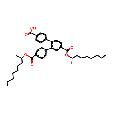 CCCCCCC[C@@H](C)OC(=O)c1ccc(-c2cc(C(=O)O[C@H](C)CCCCCCC)ccc2-c2ccc(C(=O)O)cc2)cc1